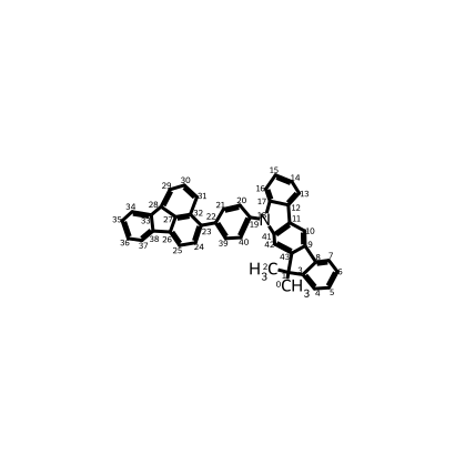 CC1(C)c2ccccc2-c2cc3c4ccccc4n(-c4ccc(-c5ccc6c7c(cccc57)-c5ccccc5-6)cc4)c3cc21